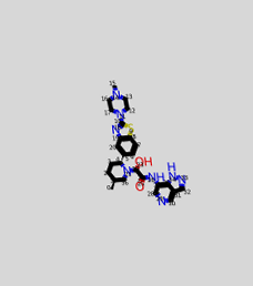 C[C@H]1CC[C@H](c2ccc3sc(N4CCN(C)CC4)nc3c2)N(C(O)C(=O)Nc2cncc3cn[nH]c23)C1